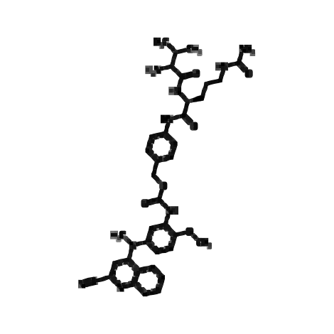 COc1ccc(N(C)c2cc(C#N)nc3ccccc23)cc1NC(=O)OCc1ccc(NC(=O)[C@H](CCCNC(N)=O)NC(=O)C(N)C(C)C)cc1